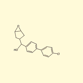 OC(c1ccc(-c2ccc(Cl)cc2)cc1)C1CC2OC2C1